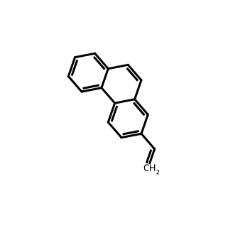 C=Cc1ccc2c(ccc3ccccc32)c1